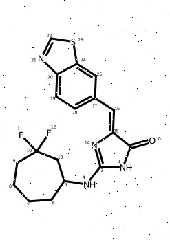 O=C1NC(NC2CCCCC(F)(F)C2)=N/C1=C\c1ccc2ncsc2c1